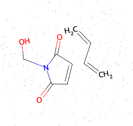 C=CC=C.O=C1C=CC(=O)N1CO